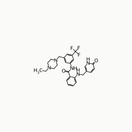 CCN1CCN(Cc2cc(NC(=O)c3ccccc3NCc3ccc(=O)[nH]c3)cc(C(F)(F)F)c2)CC1